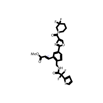 COC(=O)/C=C/c1cc(-c2nc(C(=O)N3CCCC(F)(F)C3)co2)ccc1CNC(=O)C(F)(F)c1cccs1